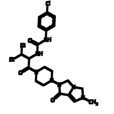 CCC(CC)C(NC(=O)Nc1ccc(Cl)cc1)C(=O)N1CCN(N2CN3CN(C)C=C3C2=O)CC1